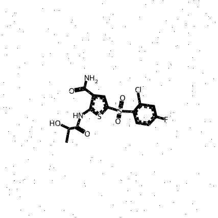 CC(O)C(=O)Nc1sc(S(=O)(=O)c2ccc(F)cc2Cl)cc1C(N)=O